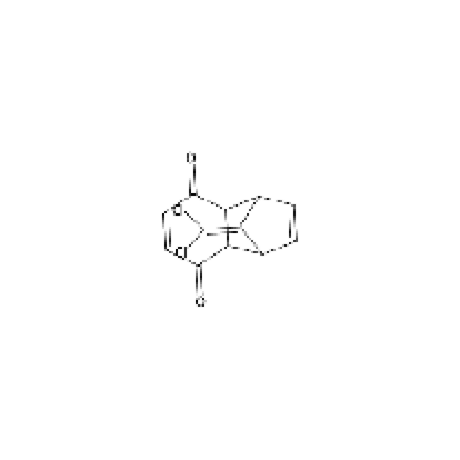 O=C1C=CC(=O)C2C3C=CC(C3=C(Cl)Cl)C12